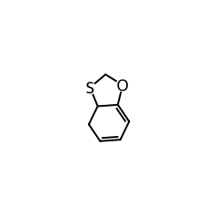 C1=CCC2SCOC2=C1